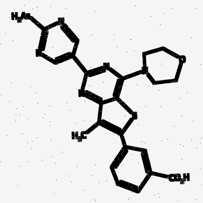 Cc1c(-c2cccc(C(=O)O)c2)sc2c(N3CCOCC3)nc(-c3cnc([AsH2])nc3)nc12